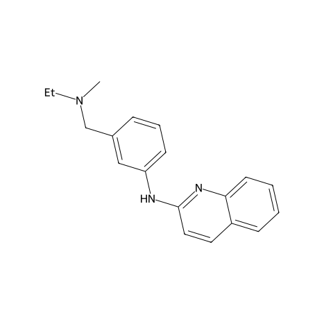 CCN(C)Cc1cccc(Nc2ccc3ccccc3n2)c1